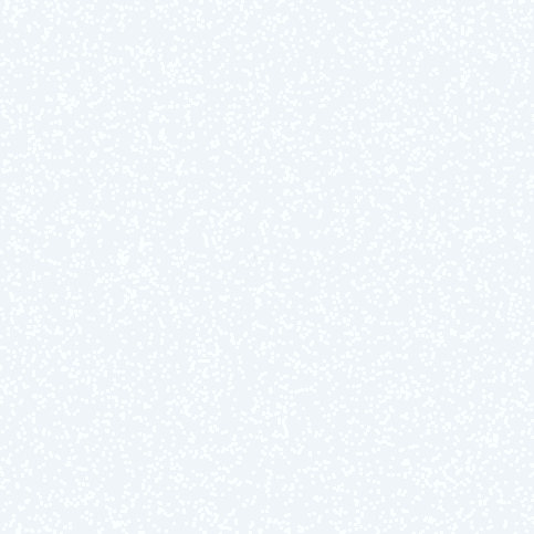 CCc1ccccc1-c1ccccc1Sc1ccccc1-c1ccccc1CC